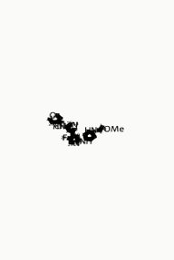 COCCN[C@H]1CC[C@H](Nc2cc(-c3cncc(NCC4(C)CCOCC4)c3)c(F)cn2)CC1